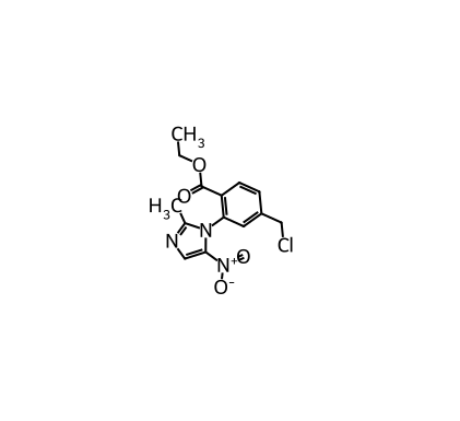 CCOC(=O)c1ccc(CCl)cc1-n1c([N+](=O)[O-])cnc1C